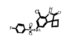 O=C1Nc2c(Cl)cc(NS(=O)(=O)c3ccc(F)cc3)cc2C12CCC2